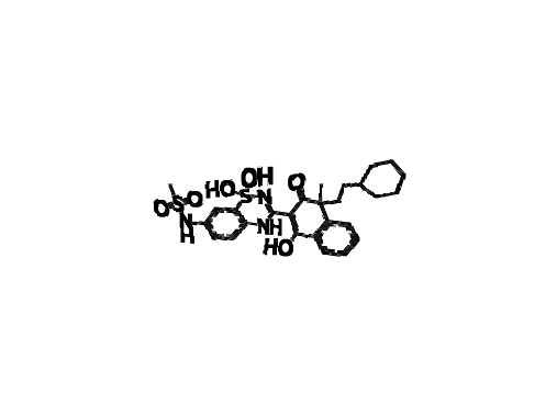 CC1(CCC2CCCCC2)C(=O)C(C2=NS(O)(O)c3cc(NS(C)(=O)=O)ccc3N2)=C(O)c2ccccc21